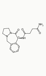 NC(=O)CCC(=O)N[C@@H]1C(=O)N2CCCN2Cc2ccccc21